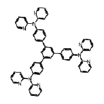 c1ccc(N(c2ccc(-c3cc(-c4ccc(N(c5ccccn5)c5ccccn5)cc4)cc(-c4ccc(N(c5ccccn5)c5ccccn5)cc4)c3)cc2)c2ccccn2)nc1